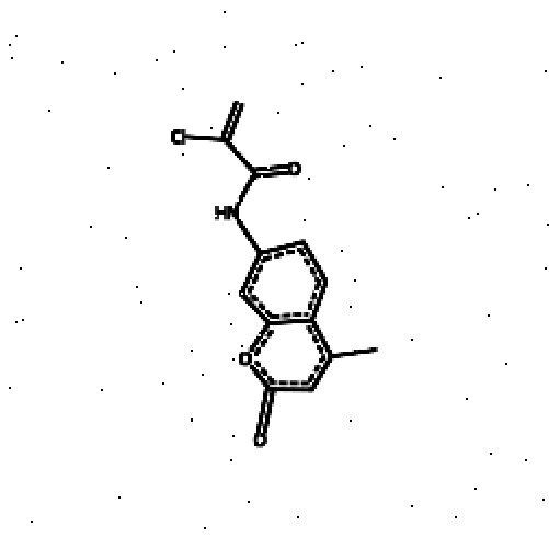 C=C(Cl)C(=O)Nc1ccc2c(C)cc(=O)oc2c1